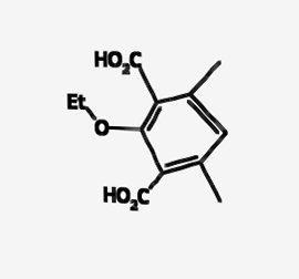 CCOc1c(C(=O)O)c(C)cc(C)c1C(=O)O